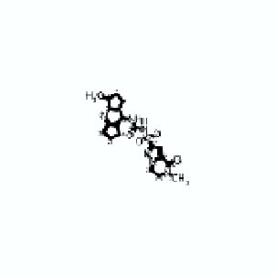 CC1CCc2c1nc1c(c2NC(=O)NS(=O)(=O)c2cc3n(n2)CCN(C)C3=O)CCC1